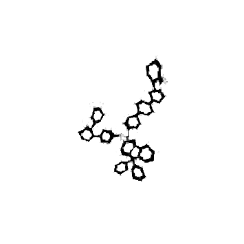 c1ccc(C2(c3ccccc3)c3ccccc3-c3cc(N(c4ccc(-c5ccc(-c6ccc7oc8ccccc8c7c6)cc5)cc4)c4ccc(-c5cccc6oc7ccccc7c56)cc4)ccc32)cc1